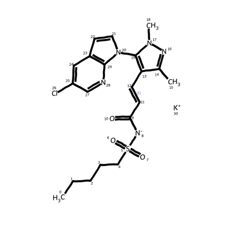 CCCCCS(=O)(=O)[N-]C(=O)/C=C/c1c(C)nn(C)c1-n1ccc2cc(Cl)cnc21.[K+]